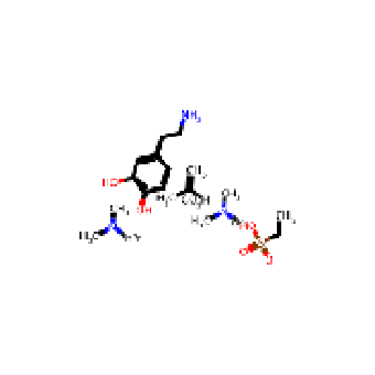 C=C(C)C(=O)O.CCCN(C)C.CCCN(C)C.CCS(=O)(=O)O.NCCc1ccc(O)c(O)c1